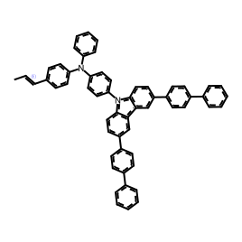 C/C=C/c1ccc(N(c2ccccc2)c2ccc(-n3c4ccc(-c5ccc(-c6ccccc6)cc5)cc4c4cc(-c5ccc(-c6ccccc6)cc5)ccc43)cc2)cc1